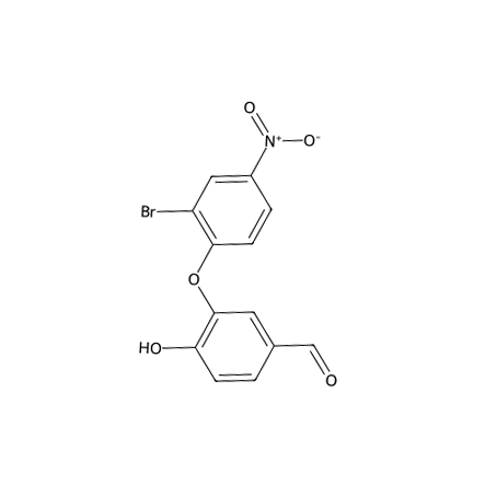 O=Cc1ccc(O)c(Oc2ccc([N+](=O)[O-])cc2Br)c1